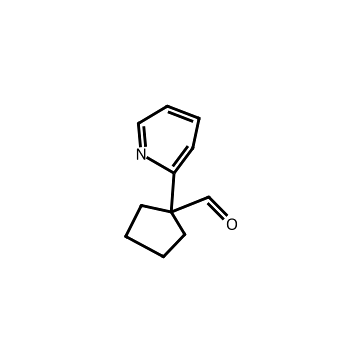 O=CC1(c2ccccn2)CCCC1